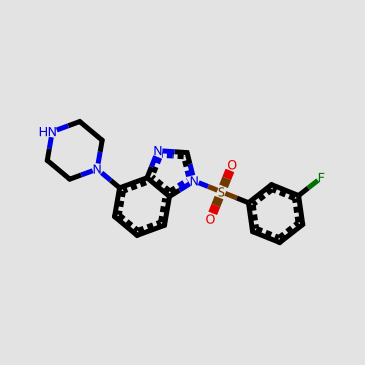 O=S(=O)(c1cccc(F)c1)n1cnc2c(N3CCNCC3)cccc21